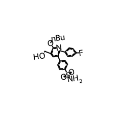 CCCCOc1nc(-c2ccc(F)cc2)c(-c2ccc(S(N)(=O)=O)cc2)cc1CO